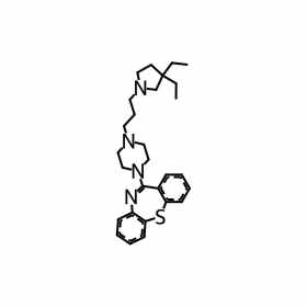 CCC1(CC)CCN(CCCN2CCN(C3=Nc4ccccc4Sc4ccccc43)CC2)C1